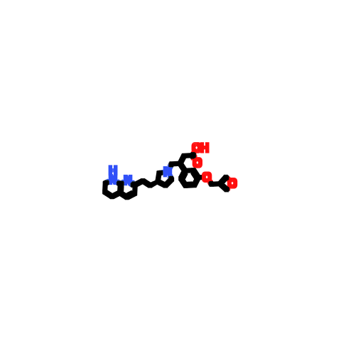 O=C(O)CC(CN1CC[C@@H](CCc2ccc3c(n2)NCCC3)C1)c1cccc(OCC2COC2)c1